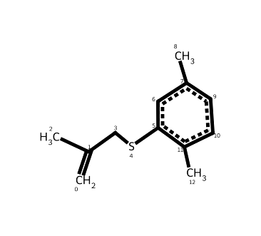 C=C(C)CSc1cc(C)ccc1C